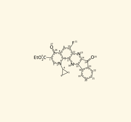 CCOC(=O)c1cn(C2CC2)c2c(cc(F)c3nc4c(nc32)-c2ccccc2C4=O)c1=O